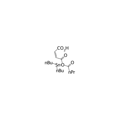 CCCC(=O)OC(=O)/C=C\C(=O)O.CCC[CH2][Sn][CH2]CCC